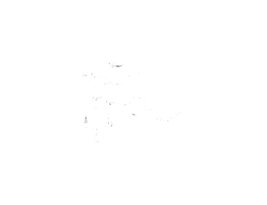 C=C/C=N\C(N)=C(/C)c1nc2ccc(Br)nc2n1-c1ccc(COC(C)=O)cc1